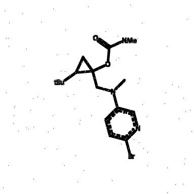 CNC(=O)OC1(CN(C)c2ccc(Br)nc2)CC1C(C)(C)C